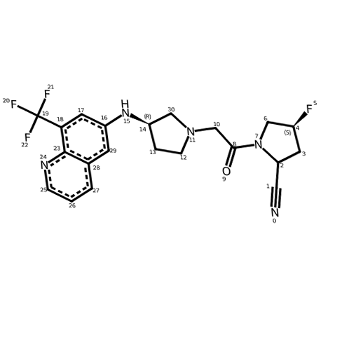 N#CC1C[C@H](F)CN1C(=O)CN1CC[C@@H](Nc2cc(C(F)(F)F)c3ncccc3c2)C1